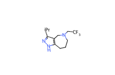 CC(C)c1n[nH]c2c1CN(CC(F)(F)F)CCC2